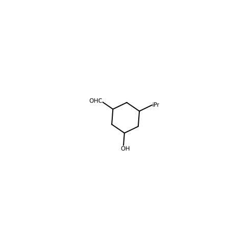 CC(C)C1CC(O)CC(C=O)C1